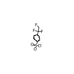 O=S(=O)(Cl)c1ccc(C(F)(F)CF)cc1